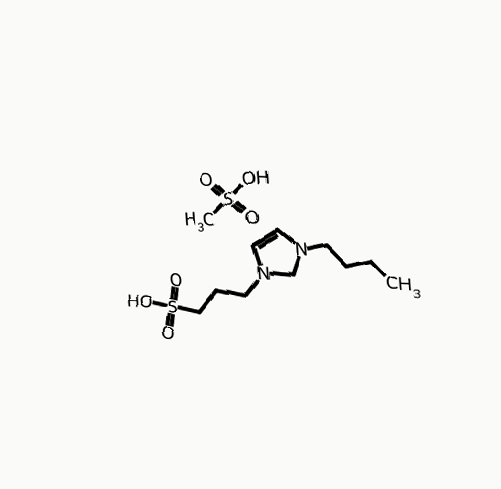 CCCCN1C=CN(CCCS(=O)(=O)O)C1.CS(=O)(=O)O